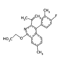 C=C(C)c1nc(OCC(=O)O)c2cc(C)ccc2c1-c1ccc(F)c(C)c1